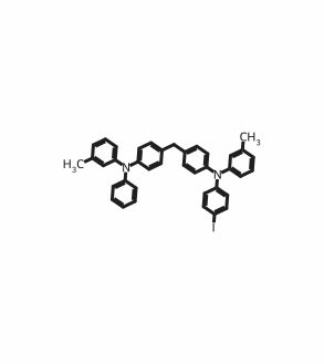 Cc1cccc(N(c2ccccc2)c2ccc(Cc3ccc(N(c4ccc(I)cc4)c4cccc(C)c4)cc3)cc2)c1